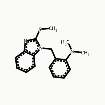 CSc1nc2ccccc2n1Cc1ccccc1N(C)C